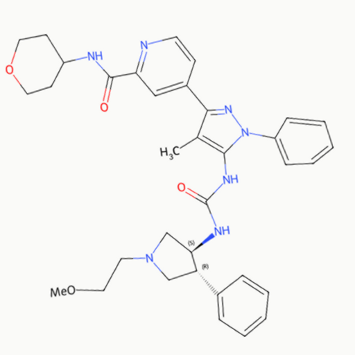 COCCN1C[C@@H](NC(=O)Nc2c(C)c(-c3ccnc(C(=O)NC4CCOCC4)c3)nn2-c2ccccc2)[C@H](c2ccccc2)C1